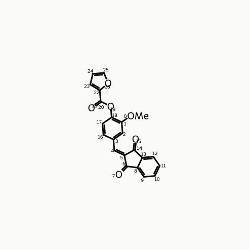 COc1cc(C=C2C(=O)c3ccccc3C2=O)ccc1OC(=O)c1ccco1